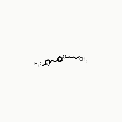 CCCCCCCOc1ccc(CCc2ccc(CC)nc2)cc1